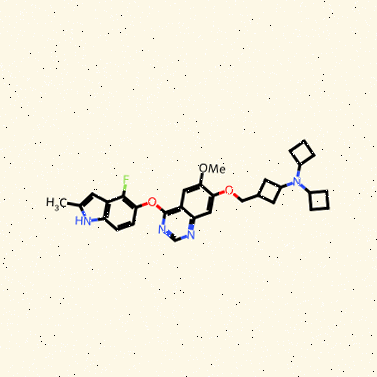 COc1cc2c(Oc3ccc4[nH]c(C)cc4c3F)ncnc2cc1OCC1CC(N(C2CCC2)C2CCC2)C1